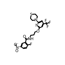 O=C(NCCCOc1cc(C(F)(F)F)cc(N2CCSCC2)n1)c1cc([N+](=O)[O-])ccc1F